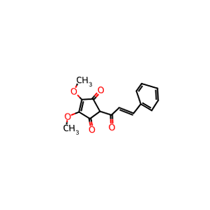 COC1=C(OC)C(=O)C(C(=O)C=Cc2ccccc2)C1=O